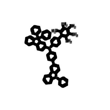 Bc1c(B)c(B)c(-c2ccc(N(c3ccc(-c4ccc5c(c4)c4ccccc4n5-c4ccccc4)cc3)c3ccc4c(c3)C(c3ccccc3)(c3ccccc3)c3ccccc3-4)cc2)c(B)c1B